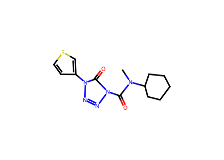 CN(C(=O)n1nnn(-c2ccsc2)c1=O)C1CCCCC1